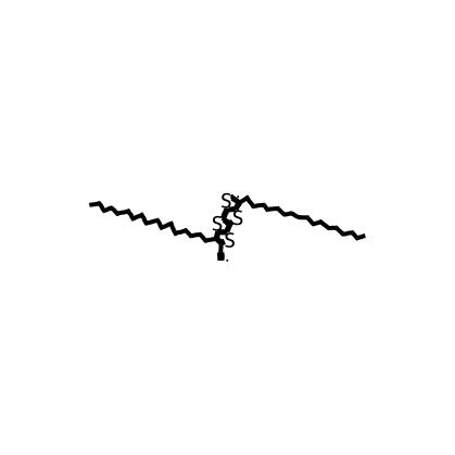 [C]#Cc1sc2c(sc3c4s[c]c(CCCCCCCCCCCCCCCCC)c4sc23)c1CCCCCCCCCCCCCCCCC